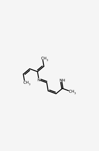 C\C=C/C(=C\C)/N=C/C=C\C(C)=N